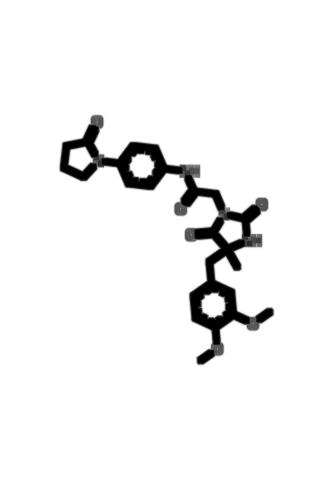 COc1ccc(CC2(C)NC(=O)N(CC(=O)Nc3ccc(N4CCCC4=O)cc3)C2=O)cc1OC